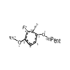 CCCCCOc1ccc(OCC)c(F)c1F